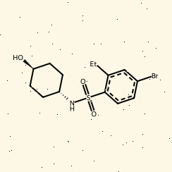 CCc1cc(Br)ccc1S(=O)(=O)N[C@H]1CC[C@H](O)CC1